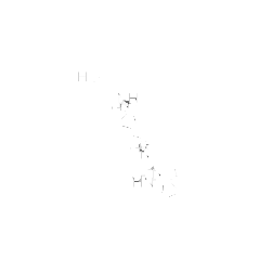 Cc1cc(S(=O)(=O)NCCCCO)ccc1/C=C/S(=O)(=O)N1CCC2(CC1)N=C(c1ccccc1OC(F)(F)F)NC2=O